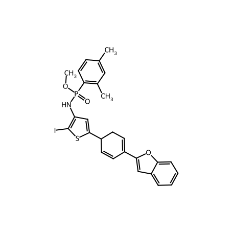 COP(=O)(Nc1cc(C2C=CC(c3cc4ccccc4o3)=CC2)sc1I)c1ccc(C)cc1C